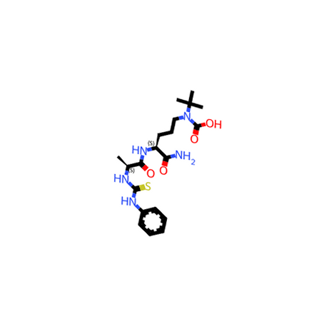 C[C@H](NC(=S)Nc1ccccc1)C(=O)N[C@@H](CCCN(C(=O)O)C(C)(C)C)C(N)=O